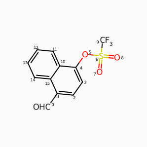 O=Cc1ccc(OS(=O)(=O)C(F)(F)F)c2ccccc12